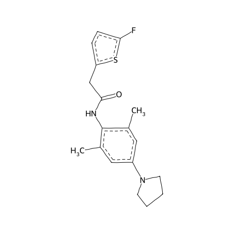 Cc1cc(N2CCCC2)cc(C)c1NC(=O)Cc1ccc(F)s1